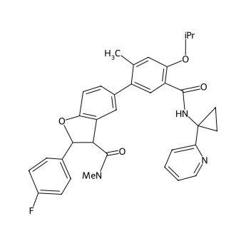 CNC(=O)C1c2cc(-c3cc(C(=O)NC4(c5ccccn5)CC4)c(OC(C)C)cc3C)ccc2OC1c1ccc(F)cc1